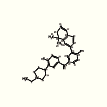 CCN1CCN(c2cc(Nc3ncc(F)c(-c4ccc5c(c4)C(C)(C)CN=C5)n3)ccc2F)CC1